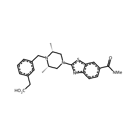 CNC(=O)c1ccc2nc(N3C[C@@H](C)N(Cc4cccc(CC(=O)O)c4)[C@@H](C)C3)sc2c1